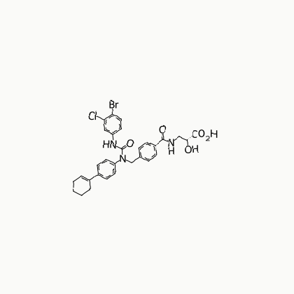 O=C(NC[C@@H](O)C(=O)O)c1ccc(CN(C(=O)Nc2ccc(Br)c(Cl)c2)c2ccc(C3=CCCCC3)cc2)cc1